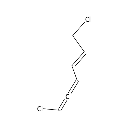 ClC=C=CC=CCCl